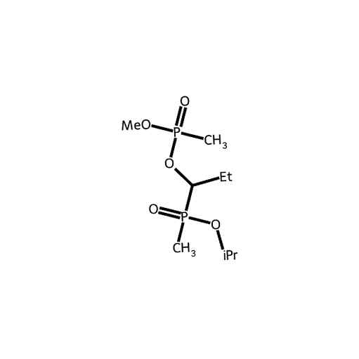 CCC(OP(C)(=O)OC)P(C)(=O)OC(C)C